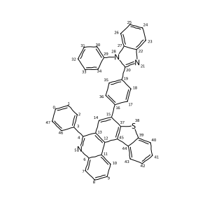 c1ccc(-c2nc3ccccc3c3c2cc(-c2ccc(-c4nc5ccccc5n4-c4ccccc4)cc2)c2sc4ccccc4c23)cc1